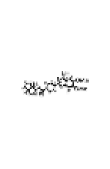 COc1cc2c(N)nc(C3=CCN(C(=O)C[C@H]4NC[C@@H]5CCC[C@@H]54)CC3)nc2c(F)c1OC